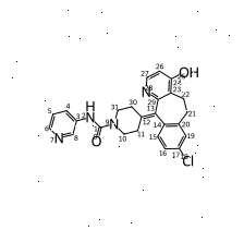 O=C(Nc1cccnc1)N1CCC(=C2c3ccc(Cl)cc3CCc3c(O)ccnc32)CC1